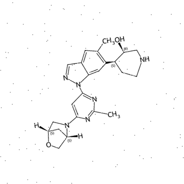 Cc1nc(N2C[C@@H]3C[C@H]2CO3)cc(-n2ncc3cc(C)c([C@@H]4CCNC[C@@H]4O)cc32)n1